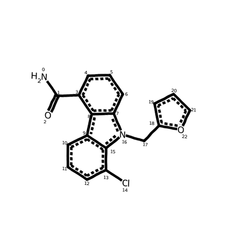 NC(=O)c1cccc2c1c1[c]ccc(Cl)c1n2Cc1ccco1